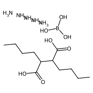 CCCCC(C(=O)O)C(CCCC)C(=O)O.N.N.N.N.N.OB(O)O